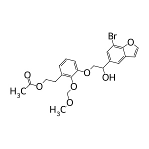 COCOc1c(CCOC(C)=O)cccc1OCC(O)c1cc(Br)c2occc2c1